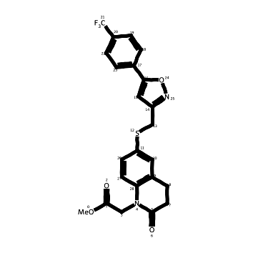 COC(=O)CN1C(=O)CCc2cc(SCc3cc(-c4ccc(C(F)(F)F)cc4)on3)ccc21